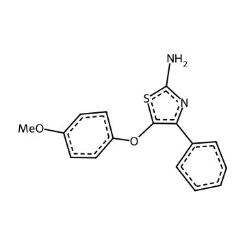 COc1ccc(Oc2sc(N)nc2-c2ccccc2)cc1